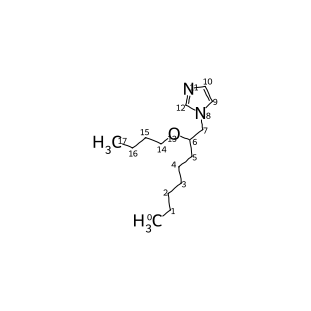 CCCCCCC(Cn1ccnc1)OCCCC